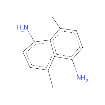 Cc1ccc(N)c2c(C)ccc(N)c12